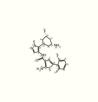 Cn1ncc(NC(=O)c2nc(-c3c(F)cccc3F)sc2N)c1N1C[C@@H](N)C[C@@H](F)C1